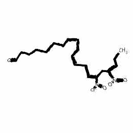 CC/C=C(\C/C(=C\C/C=C\C/C=C\CCCCCC[C]=O)[N+](=O)[O-])[N+](=O)[O-]